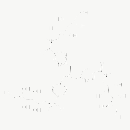 CN(C[C@H](O)[C@@H](O)[C@H](O)[C@H](O)CO)C(=O)c1ccc(CN(Cc2ccc(C(=O)N(C)C[C@H](O)[C@@H](O)[C@H](O)[C@H](O)CO)cn2)Cc2ccc(C(=O)N(C)C[C@H](O)[C@@H](O)[C@H](O)[C@H](O)CO)cn2)nc1